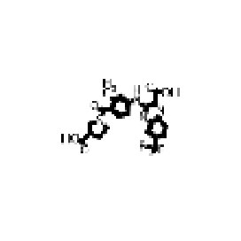 Cc1cc(Nc2nc3cc(C(F)(F)F)ccc3nc2C(=O)O)ccc1C(=O)N1CCC(C(=O)O)C1